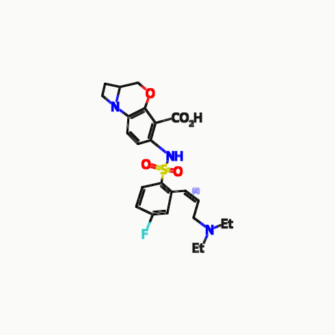 CCN(CC)C/C=C\c1cc(F)ccc1S(=O)(=O)Nc1ccc2c(c1C(=O)O)OCC1CCN21